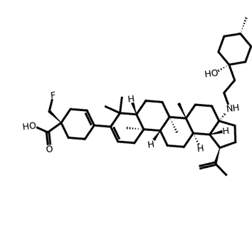 C=C(C)[C@@H]1CC[C@]2(NCC[C@]3(O)CC[C@@H](C)CC3)CC[C@]3(C)[C@H](CC[C@@H]4[C@@]5(C)CC=C(C6=CC[C@@](CF)(C(=O)O)CC6)C(C)(C)[C@@H]5CC[C@]43C)[C@@H]12